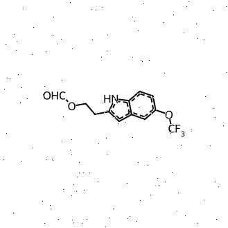 O=COCCc1cc2cc(OC(F)(F)F)ccc2[nH]1